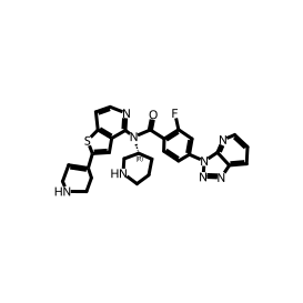 O=C(c1ccc(-n2nnc3cccnc32)cc1F)N(c1nccc2sc(C3=CCNCC3)cc12)[C@@H]1CCCNC1